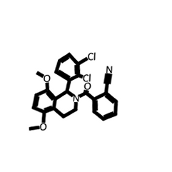 COc1ccc(OC)c2c1CCN(C(=O)c1ccccc1C#N)C2c1cccc(Cl)c1Cl